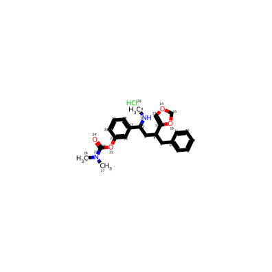 CNC(CC(Cc1ccccc1)C1=COCO1)c1cccc(OC(=O)N(C)C)c1.Cl